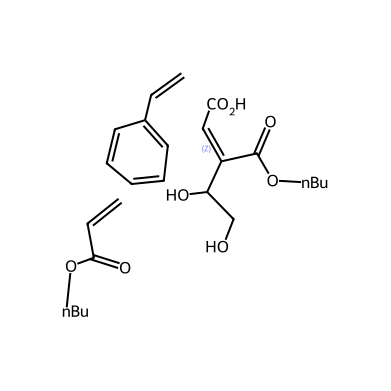 C=CC(=O)OCCCC.C=Cc1ccccc1.CCCCOC(=O)/C(=C\C(=O)O)C(O)CO